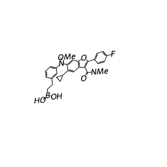 CNC(=O)c1c(-c2ccc(F)cc2)oc2cc(N(OC)c3cccc(CCB(O)O)c3)c(C3CC3)cc12